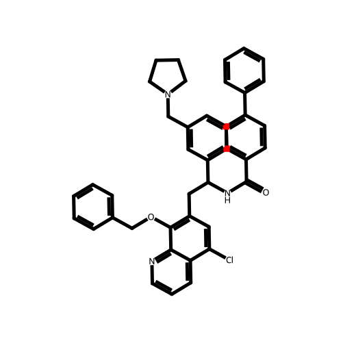 O=C(NC(Cc1cc(Cl)c2cccnc2c1OCc1ccccc1)c1cccc(CN2CCCC2)c1)c1ccc(-c2ccccc2)cc1